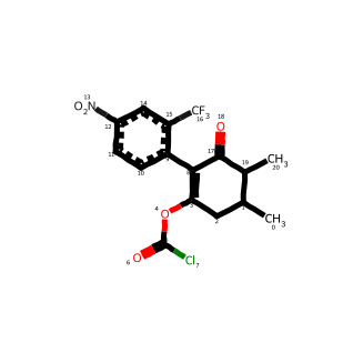 CC1CC(OC(=O)Cl)=C(c2ccc([N+](=O)[O-])cc2C(F)(F)F)C(=O)C1C